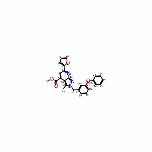 COC(=O)c1cc(-c2ccco2)nc2nn(Cc3cccc(Oc4ccccc4)c3)c(C)c12